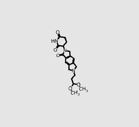 COC(CCN1Cc2cc3c(cc2C1)C(=O)N(C1CCC(=O)NC1=O)C3)OC